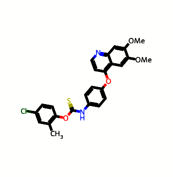 COc1cc2nccc(Oc3ccc(NC(=S)Oc4ccc(Cl)cc4C)cc3)c2cc1OC